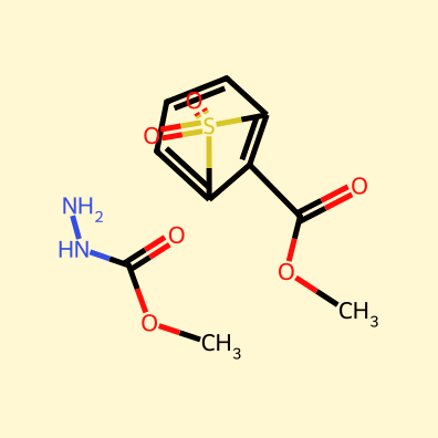 COC(=O)NN.COC(=O)c1c2cccc1S2(=O)=O